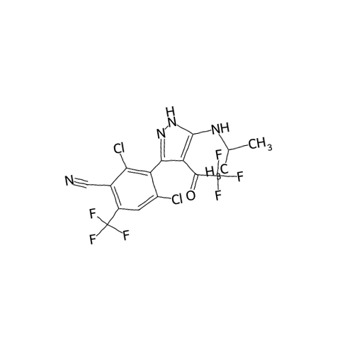 CC(C)Nc1[nH]nc(-c2c(Cl)cc(C(F)(F)F)c(C#N)c2Cl)c1C(=O)C(F)(F)F